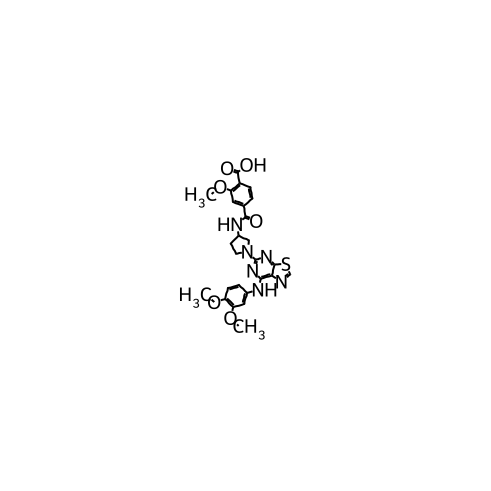 COc1ccc(Nc2nc(N3CCC(NC(=O)c4ccc(C(=O)O)c(OC)c4)C3)nc3scnc23)cc1OC